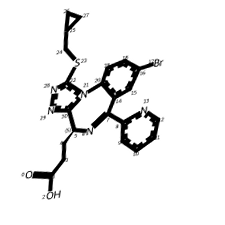 O=C(O)CC[C@@H]1N=C(c2ccccn2)c2cc(Br)ccc2-n2c(SCC3CC3)nnc21